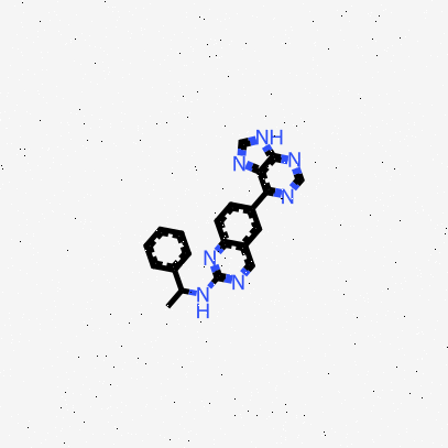 CC(Nc1ncc2cc(-c3ncnc4[nH]cnc34)ccc2n1)c1ccccc1